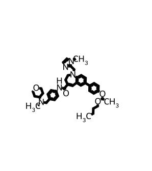 CCCCOC(C)Oc1ccc(-c2ccc3c(c2)C=C(C(=O)Nc2ccc(CN(C)C4CCOCC4)cc2)CCN3Cc2nccn2C)cc1